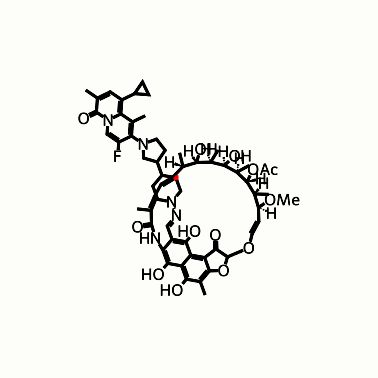 CO[C@H]1/C=C/O[C@@]2(C)Oc3c(C)c(O)c4c(O)c(c(/C=N/N5CCC(C6CCN(c7c(F)cn8c(=O)c(C)cc(C9CC9)c8c7C)C6)CC5)c(O)c4c3C2=O)NC(=O)/C(C)=C\C=C\[C@H](C)[C@H](O)[C@@H](C)[C@@H](O)[C@@H](C)[C@H](OC(C)=O)[C@@H]1C